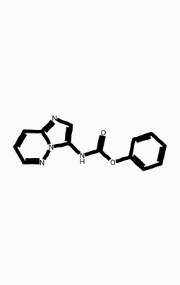 O=C(Nc1cnc2cccnn12)Oc1ccccc1